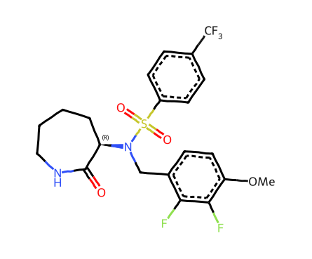 COc1ccc(CN([C@@H]2CCCCNC2=O)S(=O)(=O)c2ccc(C(F)(F)F)cc2)c(F)c1F